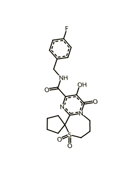 O=C(NCc1ccc(F)cc1)c1nc2n(c(=O)c1O)CCCS(=O)(=O)C21CCCC1